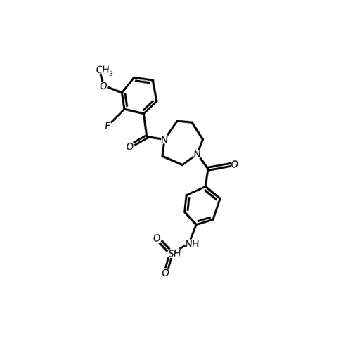 COc1cccc(C(=O)N2CCCN(C(=O)c3ccc(N[SH](=O)=O)cc3)CC2)c1F